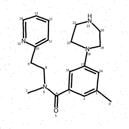 Cc1cc(C(=O)N(C)CCc2ccccn2)cc(N2CCNCC2)c1